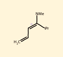 C=C/C=C(/NC)C(C)C